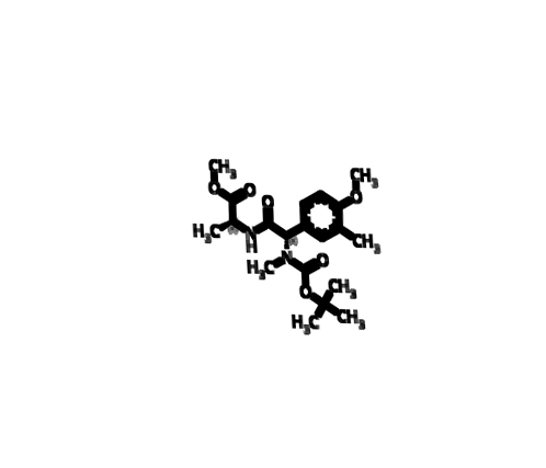 COC(=O)[C@H](C)NC(=O)[C@H](c1ccc(OC)c(C)c1)N(C)C(=O)OC(C)(C)C